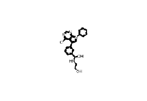 OCCNC(O)c1cccc(-c2cn(-c3ccccc3)c3ncnc(Cl)c23)c1